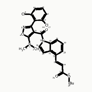 CN(C)c1onc(-c2c(Cl)cccc2Cl)c1C(=O)n1ccc2c(/C=C/C(=O)OC(C)(C)C)cccc21